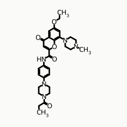 CCOc1cc(N2CCN(C)CC2)c2oc(C(=O)Nc3ccc(N4CCN(C(=O)CC)CC4)cc3)cc(=O)c2c1